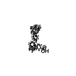 O=C(O)C1CCN(c2c(CN3CCN(C(=O)OC(C(F)(F)F)C(F)(F)F)CC3)cccc2C(F)(F)F)CC1